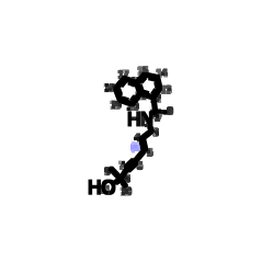 C[C@@H](NC/C=C/C#CC(C)(C)O)c1cccc2ccccc12